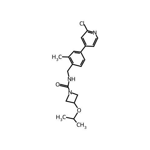 Cc1cc(-c2ccnc(Cl)c2)ccc1CNC(=O)N1CC(OC(C)C)C1